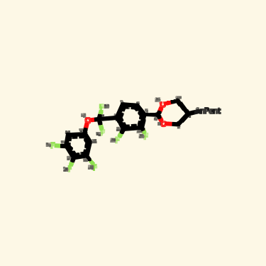 CCCCCC1COC(c2ccc(C(F)(F)Oc3cc(F)c(F)c(F)c3)c(F)c2F)OC1